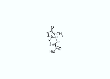 CN1C(=O)C=CC12CCN(C(=O)O)CC2